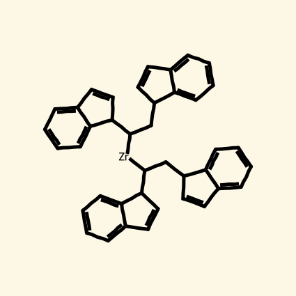 C1=CC(C[CH]([Zr][CH](CC2C=Cc3ccccc32)C2C=Cc3ccccc32)C2C=Cc3ccccc32)c2ccccc21